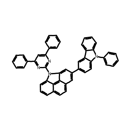 c1ccc(-c2cc(-c3ccccc3)nc(-n3c4cccc5ccc6cc(-c7ccc8c(c7)c7ccccc7n8-c7ccccc7)cc3c6c54)n2)cc1